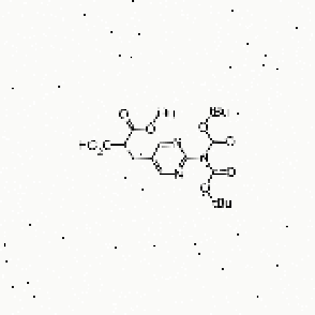 CCC(C)OC(=O)C(Cc1cnc(N(C(=O)OC(C)(C)C)C(=O)OC(C)(C)C)nc1)C(=O)O